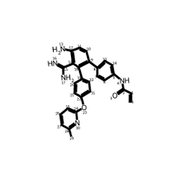 C=CC(=O)Nc1ccc(-c2ccc(N)c(C(=N)N)c2-c2ccc(Oc3cccc(C)n3)cc2)cc1